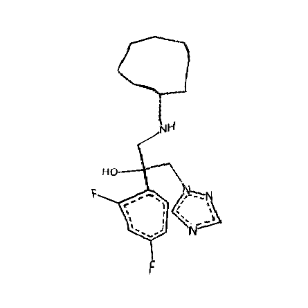 OC(CNC1CCCCCCC1)(Cn1cncn1)c1ccc(F)cc1F